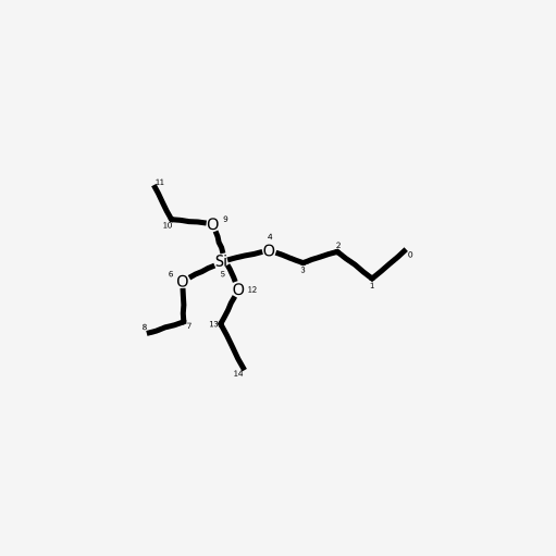 CCC[CH]O[Si](OCC)(OCC)OCC